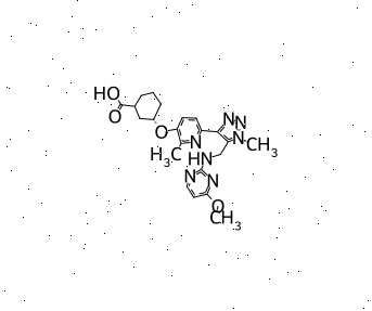 COc1ccnc(NCc2c(-c3ccc(O[C@H]4CCCC(C(=O)O)C4)c(C)n3)nnn2C)n1